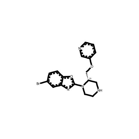 Brc1ccc2oc(N3CCNC[C@H]3COc3cccnc3)nc2c1